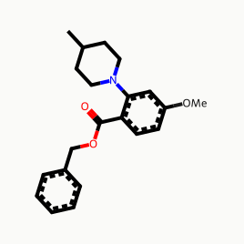 COc1ccc(C(=O)OCc2ccccc2)c(N2CCC(C)CC2)c1